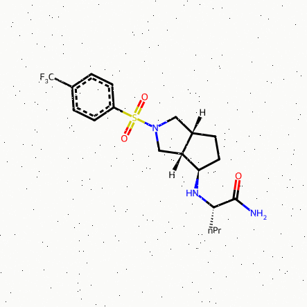 CCC[C@H](N[C@@H]1CC[C@H]2CN(S(=O)(=O)c3ccc(C(F)(F)F)cc3)C[C@H]21)C(N)=O